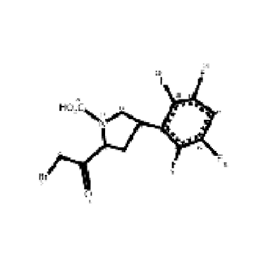 O=C(CBr)C1CC(c2c(F)c(F)cc(F)c2F)CN1C(=O)O